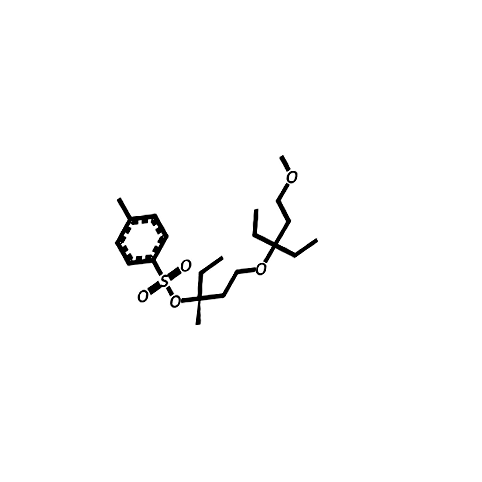 CCC(CC)(CCOC)OCC[C@@](C)(CC)OS(=O)(=O)c1ccc(C)cc1